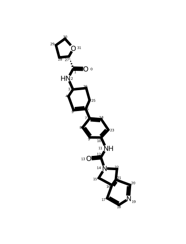 O=C(NC1CC=C(c2ccc(NC(=O)N3Cc4ccncc4C3)cc2)CC1)[C@@H]1CCCO1